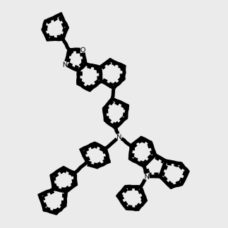 c1ccc(-c2nc3ccc4c(-c5ccc(N(c6ccc(-c7ccc8ccccc8c7)cc6)c6ccc7c8ccccc8n(-c8ccccc8)c7c6)cc5)cccc4c3o2)cc1